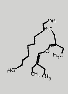 CCC(=COC=C(CC)CC)CC.OCCCCCCCCO